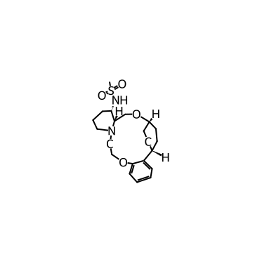 CS(=O)(=O)N[C@H]1CCCN2CCOc3ccccc3[C@H]3CC[C@H](CC3)OC[C@@H]12